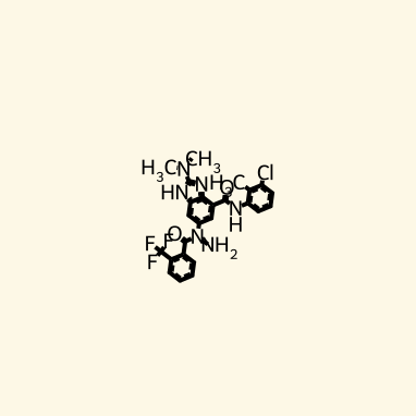 Cc1c(Cl)cccc1NC(=O)c1cc(N(N)C(=O)c2ccccc2C(F)(F)F)cc2[nH]c(N(C)C)nc12